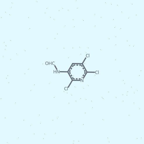 O=CNc1cc(Cl)c(Cl)nc1Cl